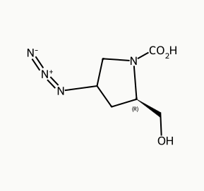 [N-]=[N+]=NC1C[C@H](CO)N(C(=O)O)C1